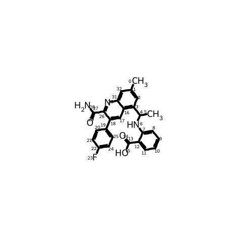 Cc1cc(C(C)Nc2ccccc2C(=O)O)c2cc(-c3ccc(F)cc3)c(C(N)=O)nc2c1